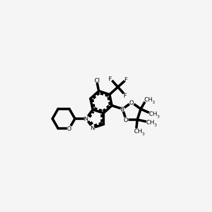 CC1(C)OB(c2c(C(F)(F)F)c(Cl)cc3c2cnn3C2CCCCO2)OC1(C)C